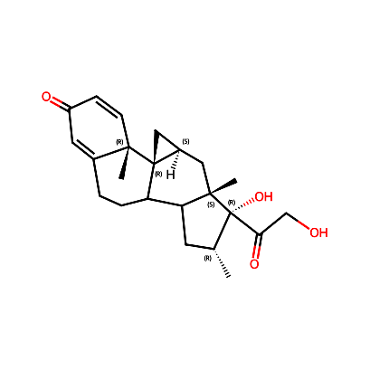 C[C@@H]1CC2C3CCC4=CC(=O)C=C[C@]4(C)[C@@]34C[C@H]4C[C@]2(C)[C@@]1(O)C(=O)CO